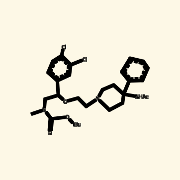 CC(=O)NC1(c2ccccc2)CCN(CCOC(CN(C)C(=O)OC(C)(C)C)c2ccc(Cl)c(Cl)c2)CC1